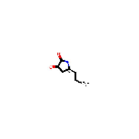 O=C1C[C@H](CCS(=O)(=O)O)NC1=O